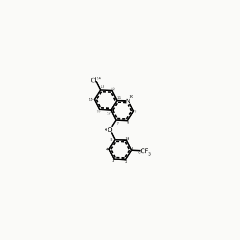 FC(F)(F)c1cccc(Oc2ccnc3cc(Cl)ccc23)c1